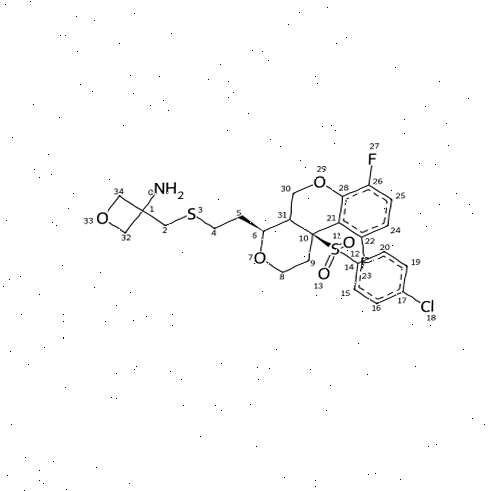 NC1(CSCC[C@@H]2OCC[C@@]3(S(=O)(=O)c4ccc(Cl)cc4)c4c(F)ccc(F)c4OCC23)COC1